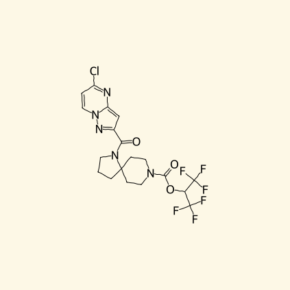 O=C(OC(C(F)(F)F)C(F)(F)F)N1CCC2(CCCN2C(=O)c2cc3nc(Cl)ccn3n2)CC1